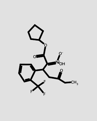 CCC(=O)CC(/C(C(=O)OC1CCCC1)=[N+](/[O-])O)c1ccccc1C(F)(F)F